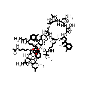 CC(=O)NCCCC[C@H](NC(=O)C(C)(CCCCN)NC(=O)[C@H](Cc1ccc2ccccc2c1)NC(=O)[C@H](Cc1ccc(OCCN)cc1)NC(=O)[C@H]1NC(=O)[C@H](CCCCNC(=O)C(C)(C)N)NC(=O)C(Cc2c[nH]c3c(C)cccc23)NC(=O)[C@H]([C@@H](C)O)NC(=O)[C@H](CC(N)=O)NC(=O)[C@@H](NC(C)=O)C(C)(C)SSC1(C)C)C(=O)N[C@@H](CC(N)=O)C(=O)N[C@H](CC(C)C)C(N)=O